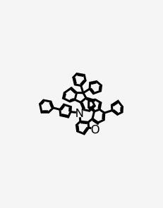 c1ccc(-c2ccc(N(c3cccc4c3-c3ccccc3C4(c3ccccc3)c3ccccc3)c3cccc4oc5cc(-c6ccccc6)c6ccccc6c5c34)cc2)cc1